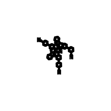 N#Cc1ccc(-c2ccc(-c3nc(-c4cccc(-c5cccc(C#N)c5)c4)nc(-c4ccc(-c5ccc(C#N)cc5)cc4-n4c5ccccc5c5ccccc54)n3)c(-n3c4ccccc4c4ccccc43)c2)cc1